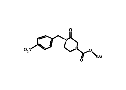 CC(C)(C)OC(=O)N1CCN(Cc2ccc([N+](=O)[O-])cc2)C(=O)C1